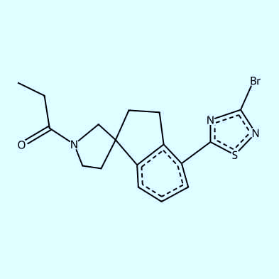 CCC(=O)N1CCC2(CCc3c(-c4nc(Br)ns4)cccc32)C1